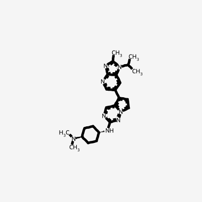 Cc1nc2ncc(-c3ccn4nc(N[C@H]5CC[C@H](N(C)C)CC5)ncc34)cc2n1C(C)C